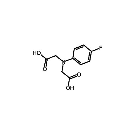 O=C(O)CN(CC(=O)O)c1ccc(F)cc1